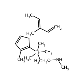 C=CC(C)=CC.CC1=[C]([Ti]([CH3])([CH3])([CH3])[CH3])CC=C1.CNC